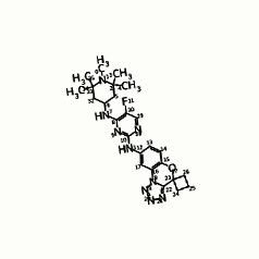 CN1C(C)(C)CC(Nc2nc(Nc3ccc4c(c3)-n3nnnc3C3(CCC3)O4)ncc2F)CC1(C)C